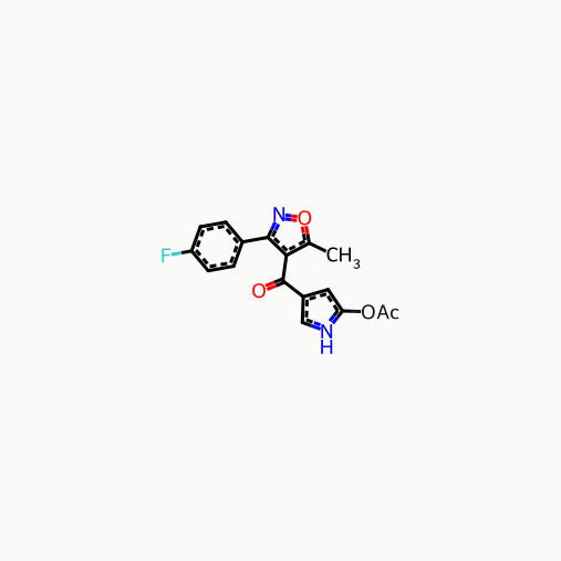 CC(=O)Oc1cc(C(=O)c2c(-c3ccc(F)cc3)noc2C)c[nH]1